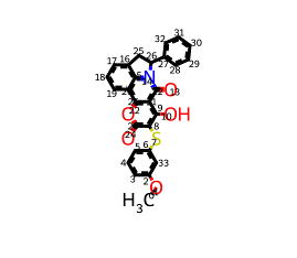 COc1cccc(Sc2c(O)c3c(=O)n4c5c(cccc5c3oc2=O)CC4c2ccccc2)c1